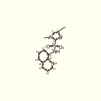 Cc1cn(C)c(S(=O)(=O)Nc2cccc3cccnc23)n1